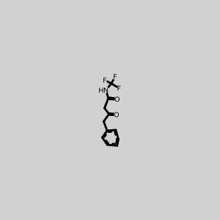 O=C(CC(=O)NC(F)(F)F)Cc1ccccc1